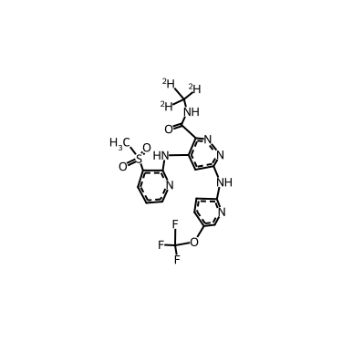 [2H]C([2H])([2H])NC(=O)c1nnc(Nc2ccc(OC(F)(F)F)cn2)cc1Nc1ncccc1S(C)(=O)=O